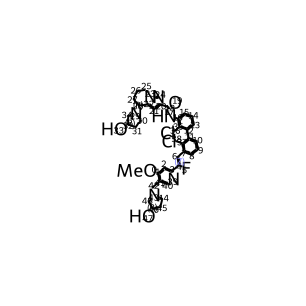 COc1cc(/C(F)=C/c2cccc(-c3cccc(NC(=O)c4cc5n(n4)CCC[C@H]5N4CC[C@@H](O)C4)c3Cl)c2Cl)ncc1CN1CC[C@@H](O)C1